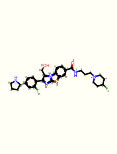 O=C(NCCCN1CCC(F)CC1)c1ccc2c(c1)sc1nc(-c3ccc([C@H]4CCCN4)cc3F)c(CO)n12